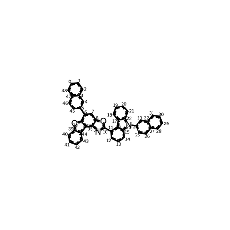 c1ccc2cc(-c3cc4oc(-c5cccc6c5c5ccccc5n6-c5ccc6ccccc6c5)nc4c4c3oc3ccccc34)ccc2c1